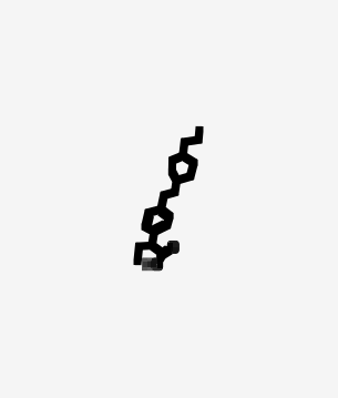 CCCC1CCC(CCc2ccc(C(CC)C(=O)O)cc2)CC1